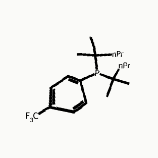 CCCC(C)(C)P(c1ccc(C(F)(F)F)cc1)C(C)(C)CCC